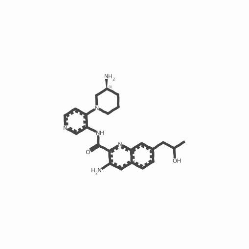 CC(O)Cc1ccc2cc(N)c(C(=O)Nc3cnccc3N3CCC[C@H](N)C3)nc2c1